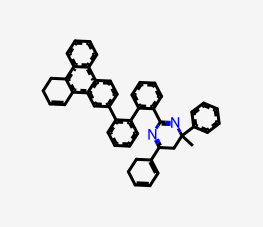 CC1(c2ccccc2)CC(C2=CC=CCC2)=NC(c2ccccc2-c2ccccc2-c2ccc3c(c2)c2c(c4ccccc43)CCC=C2)=N1